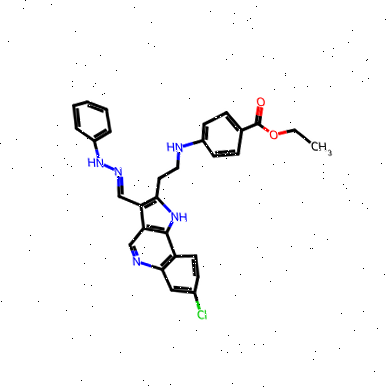 CCOC(=O)c1ccc(NCCc2[nH]c3c(cnc4cc(Cl)ccc43)c2C=NNc2ccccc2)cc1